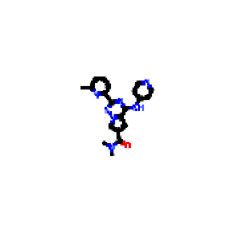 Cc1cccc(-c2nc(Nc3ccncc3)c3cc(C(=O)N(C)C)cn3n2)n1